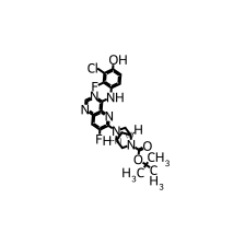 CC(C)(C)OC(=O)N1C[C@@H]2C[C@H]1CN2c1nc2c(Nc3ccc(O)c(Cl)c3F)ncnc2cc1F